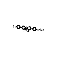 CCCCCCC1CCC([C@H]2CC[C@]3(CC2)C[C@@]2(CCC(C4CCC(CC)CC4)CC2)C3(Cl)Cl)CC1